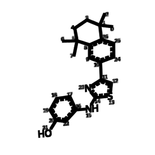 CC1(C)CCC(C)(C)c2cc(-c3csc(Nc4cccc(O)c4)n3)ccc21